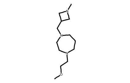 COCCN1CCCN(CC2CN(C)C2)CC1